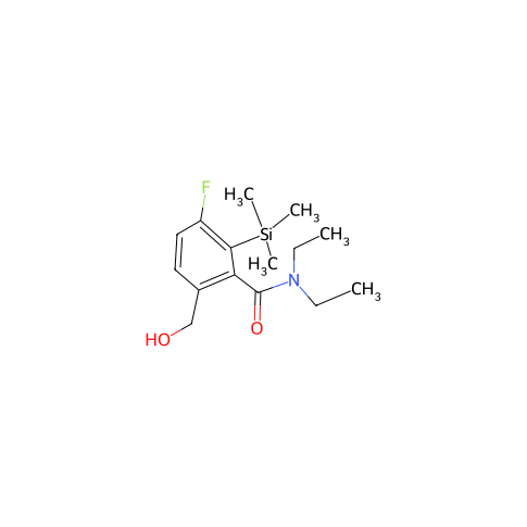 CCN(CC)C(=O)c1c(CO)ccc(F)c1[Si](C)(C)C